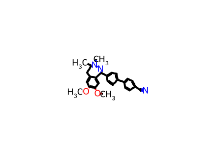 COc1cc2c(cc1OC)C(c1ccc(-c3ccc(C#N)cc3)cc1)=NN(C)C(C)C2